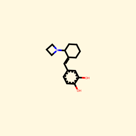 Oc1ccc(C=C2CCCCC2N2CCC2)cc1O